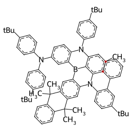 Cc1cc2c3c(c1)N(c1ccc(C(C)(C)C)cc1-c1ccccc1)c1cc4c(cc1B3c1cc(N(c3ccc(C(C)(C)C)cc3)c3ccc(C(C)(C)C)cc3)ccc1N2c1ccc(C(C)(C)C)cc1)C(C)(C)c1ccccc1C4(C)C